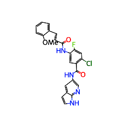 COc1ccccc1C=CC(=O)Nc1cc(C(=O)Nc2cnc3[nH]ccc3c2)c(Cl)cc1F